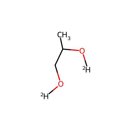 [2H]OCC(C)O[2H]